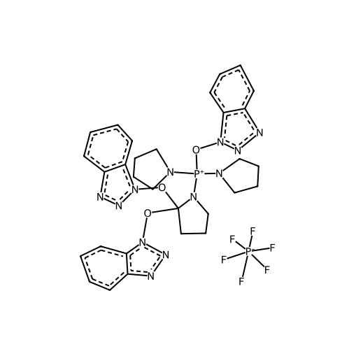 F[P-](F)(F)(F)(F)F.c1ccc2c(c1)nnn2OC1(On2nnc3ccccc32)CCCN1[P+](On1nnc2ccccc21)(N1CCCC1)N1CCCC1